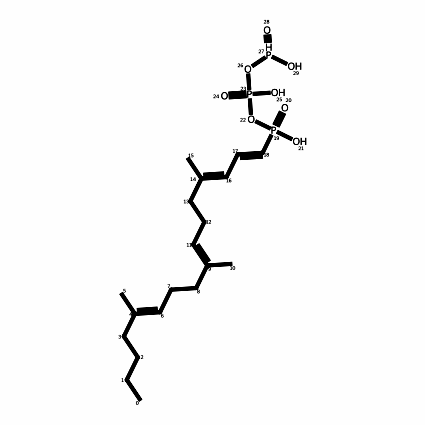 CCCCC(C)=CCCC(C)=CCCC(C)=CC=CP(=O)(O)OP(=O)(O)O[PH](=O)O